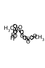 COc1ccc(C(=O)N2CCC(Oc3cccc(NC(=O)c4cccc(C)c4-c4ccc(OC(F)(F)F)cc4)c3)CC2)cc1